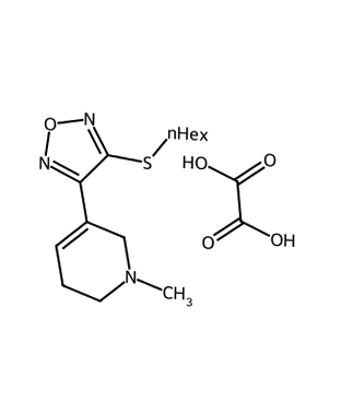 CCCCCCSc1nonc1C1=CCCN(C)C1.O=C(O)C(=O)O